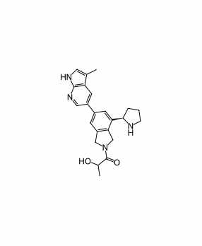 Cc1c[nH]c2ncc(-c3cc4c(c([C@H]5CCCN5)c3)CN(C(=O)C(C)O)C4)cc12